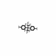 FC(F)(F)C(c1ccc(I)cc1)(c1ccc(I)cc1)C(F)(F)F